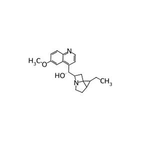 CCC1C2CCN3C([C@H](O)c4ccnc5ccc(OC)cc45)CC123